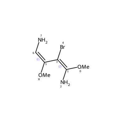 CO/C(N)=C(Br)/C(=C\N)OC